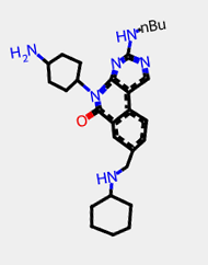 CCCCNc1ncc2c3ccc(CNC4CCCCC4)cc3c(=O)n(C3CCC(N)CC3)c2n1